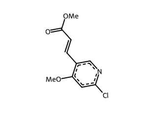 COC(=O)/C=C/c1cnc(Cl)cc1OC